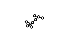 c1ccc(-c2ccc(-c3ccccc3)c(-c3ccc(-c4ccc(N(c5ccccc5)c5cc6ccccc6c6ccccc56)cc4)cc3)c2)cc1